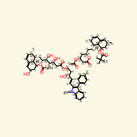 CC[C@H](C)C(=O)O[C@H]1C[C@H](O)C=C2C=C[C@H](C)[C@H](CC[C@@H](O)C[C@@H](O)CC(=O)O[C@H](CC(=O)O[C@@H]3CC(=O)O[C@H](CC[C@H]4[C@H]5C(=C[C@@H](C)C[C@H]5OC(=O)C(C)(C)CC)C=C[C@H]4C)C3)C[C@@H](O)/C=C/c3c(-c4ccc(F)cc4)c4ccccc4n3C(C)C)[C@H]21